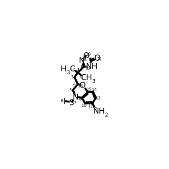 CC(C)(CC1CN(SI)c2cc(N)ccc2O1)c1noc(=O)[nH]1